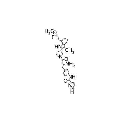 COC(F)CCc1cccc2c(C)c(C3CCCN(C(=O)CC(N)Cc4ccc(NC(=O)c5cc[nH]n5)cc4)C3)[nH]c12